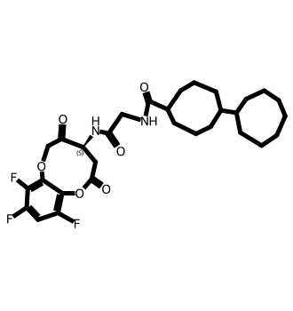 O=C(CNC(=O)C1CCCC(C2CCCCCCC2)CCC1)N[C@H]1CC(=O)Oc2c(F)cc(F)c(F)c2OCC1=O